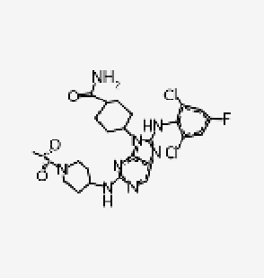 CS(=O)(=O)N1CCC(Nc2ncc3nc(Nc4c(Cl)cc(F)cc4Cl)n(C4CCC(C(N)=O)CC4)c3n2)CC1